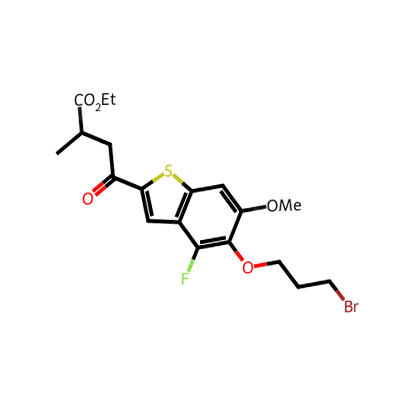 CCOC(=O)C(C)CC(=O)c1cc2c(F)c(OCCCBr)c(OC)cc2s1